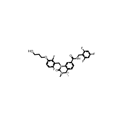 C[C@H]1c2ccc(C(=O)NCc3c(F)cc(F)cc3F)cc2N(Cc2c(F)ccc(OCCCO)c2F)C(=O)N1C